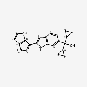 OC(c1ccc2cc(-c3n[nH]c4ccsc34)[nH]c2c1)(C1CC1)C1CC1